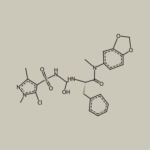 Cc1nn(C)c(Cl)c1S(=O)(=O)NC(O)N[C@@H](Cc1ccccc1)C(=O)N(C)c1ccc2c(c1)OCO2